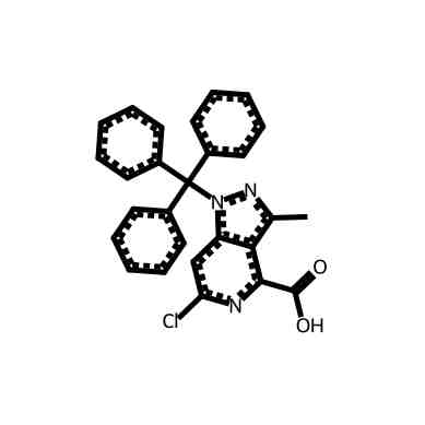 Cc1nn(C(c2ccccc2)(c2ccccc2)c2ccccc2)c2cc(Cl)nc(C(=O)O)c12